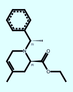 CCOC(=O)[C@H]1CC(C)=CCN1[C@@H](C)c1ccccc1